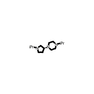 CC(C)N1CCN([C@H]2CCN(C(C)C)C2)CC1